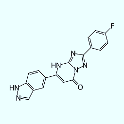 O=c1cc(-c2ccc3[nH]ncc3c2)[nH]c2nc(-c3ccc(F)cc3)nn12